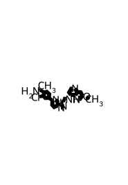 COc1cnc2c(NCc3nnc4ccc(-c5ccc(C(C)N)c(Cl)c5)nn34)ccnc2c1